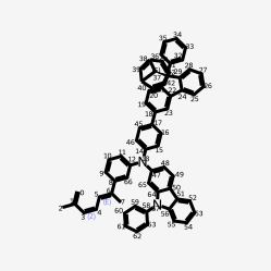 C=C(C)/C=C\C=C(/C)c1cccc(N(c2ccc(-c3ccc4c(c3)-c3ccccc3C4(c3ccccc3)[C@@H]3C4=CC3C=CC=C4)cc2)c2ccc3c4ccccc4n(-c4ccccc4)c3c2)c1